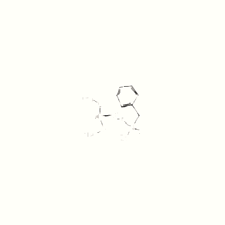 CC(C)(C)OP(=O)([O-])OC(C)(C)C.CC[N+](CC)(CC)Cc1ccccc1